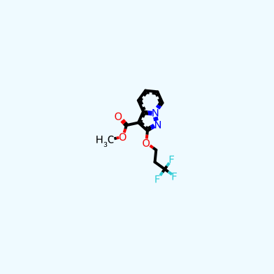 COC(=O)c1c(OCCC(F)(F)F)nn2ccccc12